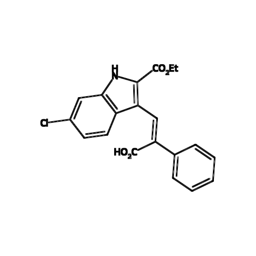 CCOC(=O)c1[nH]c2cc(Cl)ccc2c1C=C(C(=O)O)c1ccccc1